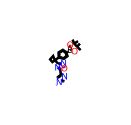 Cn1cnc(-c2nc(C3(c4ccc(B5OC(C)(C)C(C)(C)O5)cc4)CCC3)no2)c1